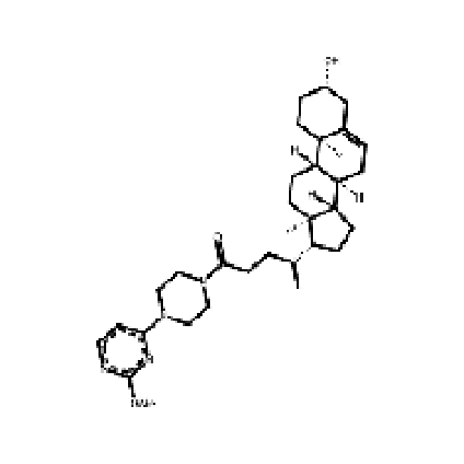 COc1nccc(N2CCN(C(=O)CCC(C)[C@H]3CC[C@H]4[C@@H]5CC=C6C[C@@H](O)CC[C@]6(C)[C@H]5CC[C@]34C)CC2)n1